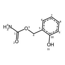 NC(=O)OCc1ccccc1O